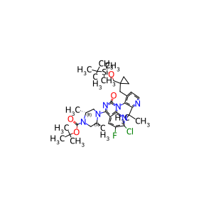 CC(C)c1nccc(CC2(CO[Si](C)(C)C(C)(C)C)CC2)c1-n1c(=O)nc(N2C[C@@H](C)N(C(=O)OC(C)(C)C)C[C@@H]2C)c2cc(F)c(Cl)nc21